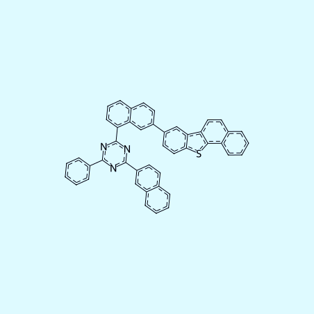 c1ccc(-c2nc(-c3ccc4ccccc4c3)nc(-c3cccc4ccc(-c5ccc6sc7c8ccccc8ccc7c6c5)cc34)n2)cc1